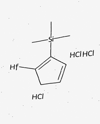 C[Si](C)(C)C1=[C]([Hf])CC=C1.Cl.Cl.Cl